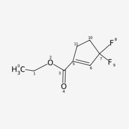 CCOC(=O)C1=CC(F)(F)CC1